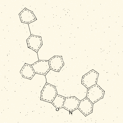 c1ccc(-c2ccc(-c3c4ccccc4c(-c4ccc5oc6nc7ccc8ccc9ccccc9c8c7cc6c5c4)c4ccccc34)cc2)cc1